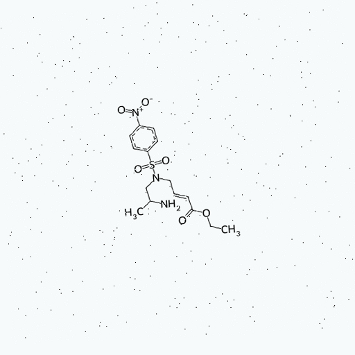 CCOC(=O)C=CCN(CC(C)N)S(=O)(=O)c1ccc([N+](=O)[O-])cc1